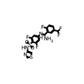 N[C@H](Nc1cc(F)c(S(=O)(=O)Nc2cscn2)c(F)c1)c1cc(C(F)F)ccc1F